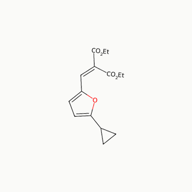 CCOC(=O)C(=Cc1ccc(C2CC2)o1)C(=O)OCC